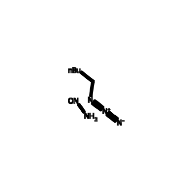 CCCCCN=[N+]=[N-].NN=O